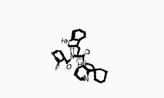 C[C@@](Cc1c[nH]c2ccccc12)(NC(=O)c1ccccc1F)C(=O)NCC1(c2ccccn2)CCCCC1